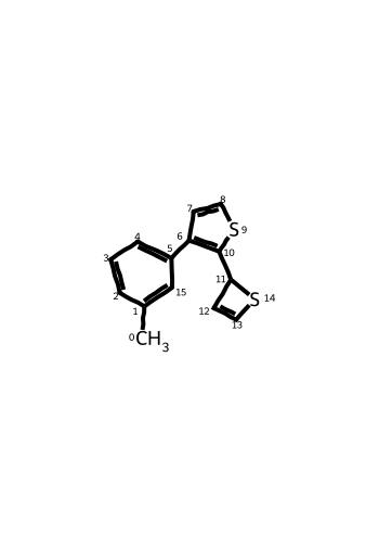 Cc1cccc(-c2ccsc2C2C=CS2)c1